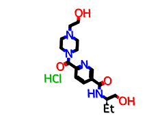 CC[C@@H](CO)NC(=O)c1ccc(C(=O)N2CCN(CCO)CC2)nc1.Cl